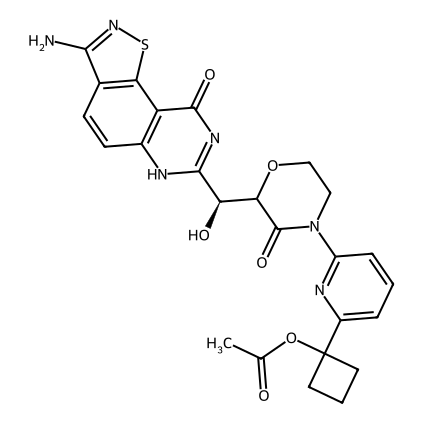 CC(=O)OC1(c2cccc(N3CCOC([C@@H](O)c4nc(=O)c5c(ccc6c(N)nsc65)[nH]4)C3=O)n2)CCC1